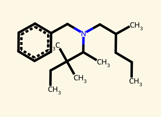 CCCC(C)CN(Cc1ccccc1)C(C)C(C)(C)CC